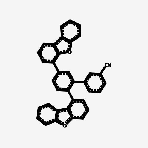 N#Cc1cccc(-c2cc(-c3cccc4c3oc3ccccc34)ccc2-c2cccc3oc4ccccc4c23)c1